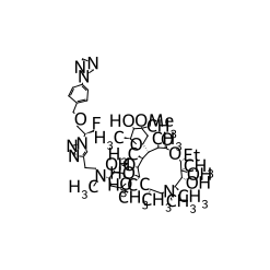 CC[C@H]1OC(=O)[C@H](C)[C@@H](C2C[C@@](C)(OC)[C@@H](O)[C@H](C)O2)[C@H](C)[C@@H](O[C@@H]2O[C@H](C)C[C@H](N(C)CCc3cn([C@H](CF)COCc4ccc(-n5cncn5)cc4)nn3)[C@H]2O)[C@](C)(O)C[C@@H](C)CN(C)[C@H](C)[C@@H](O)[C@]1(C)O